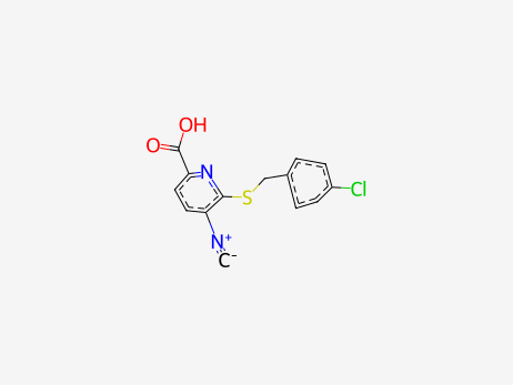 [C-]#[N+]c1ccc(C(=O)O)nc1SCc1ccc(Cl)cc1